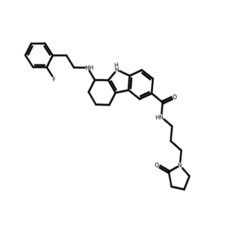 O=C(NCCCN1CCCC1=O)c1ccc2[nH]c3c(c2c1)CCCC3NCCc1ccccc1F